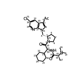 CC(=O)c1cn(C[C@@H]2CCCN2C(=O)[C@@H](NC(=O)[C@H](C)N(C)C)C2CCCCC2)c2ncc(Cl)cc12